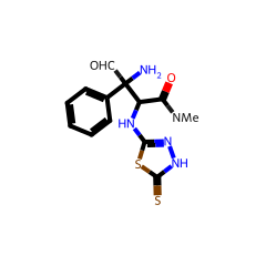 CNC(=O)C(Nc1n[nH]c(=S)s1)C(N)(C=O)c1ccccc1